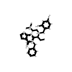 CCC(c1nc2sccc2c(=O)n1Cc1ccccc1)N(CCN(C)C)Cc1ccc(F)cc1F